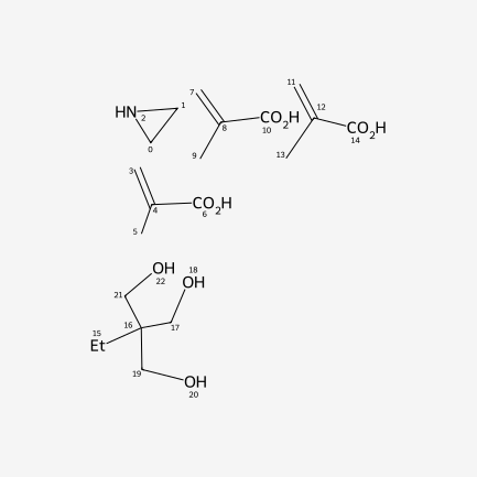 C1CN1.C=C(C)C(=O)O.C=C(C)C(=O)O.C=C(C)C(=O)O.CCC(CO)(CO)CO